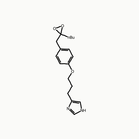 CCCCC1(Cc2ccc(OCCCc3c[nH]cn3)cc2)OO1